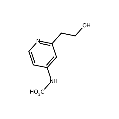 O=C(O)Nc1ccnc(CCO)c1